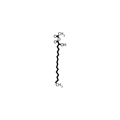 CCCCCCCCCCCCCCCCC(O)C(=O)OC(C)=O